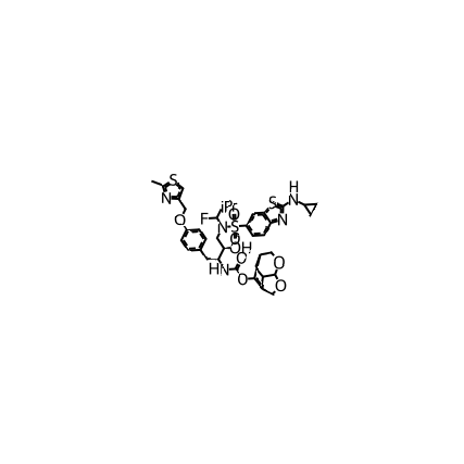 Cc1nc(COc2ccc(C[C@H](NC(=O)OC3=C4COC5OCC3CC45)[C@H](O)CN(C(F)C(C)C)S(=O)(=O)c3ccc4nc(NC5CC5)sc4c3)cc2)cs1